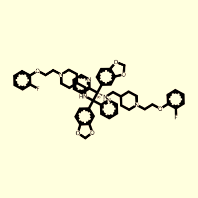 Fc1ccccc1OCCN1CCC(CNC(c2ccc3c(c2)OCO3)(c2ccccn2)[C@](NCC2CCN(CCOc3ccccc3F)CC2)(c2ccc3c(c2)OCO3)c2ccccn2)CC1